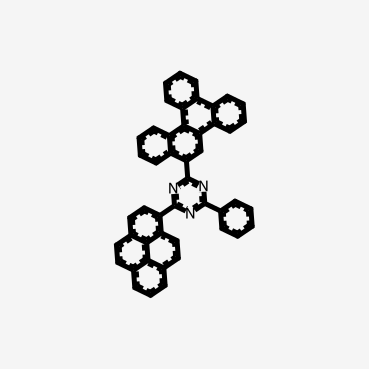 c1ccc(-c2nc(-c3cc4c5ccccc5c5ccccc5c4c4ccccc34)nc(-c3ccc4ccc5cccc6ccc3c4c56)n2)cc1